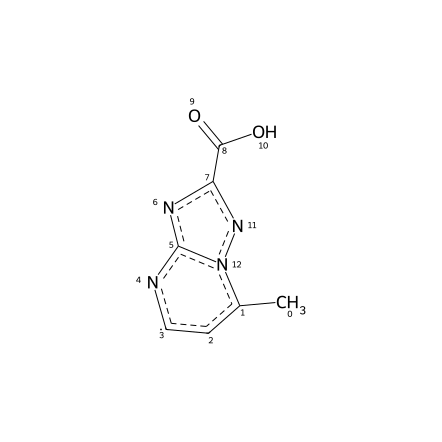 Cc1c[c]nc2nc(C(=O)O)nn12